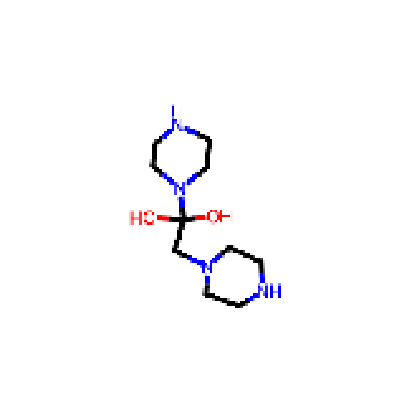 OC(O)(CN1CCNCC1)N1CCNCC1